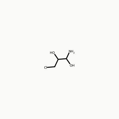 NC(O)C(O)CCl